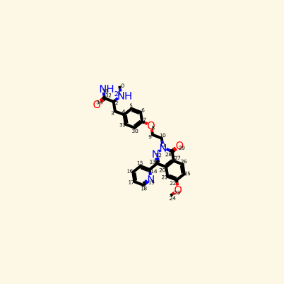 CNC(Cc1ccc(OCCn2nc(-c3ccccn3)c3cc(OC)ccc3c2=O)cc1)C(N)=O